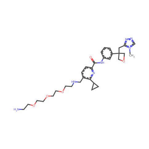 Cn1cnnc1CC1(c2cccc(NC(=O)c3ccc(CNCCOCCOCCOCCN)c(C4CC4)n3)c2)COC1